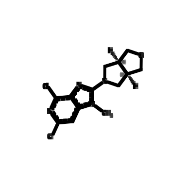 Cn1c(N2C[C@H]3COC[C@H]3C2)nc2c(Cl)nc(Cl)cc21